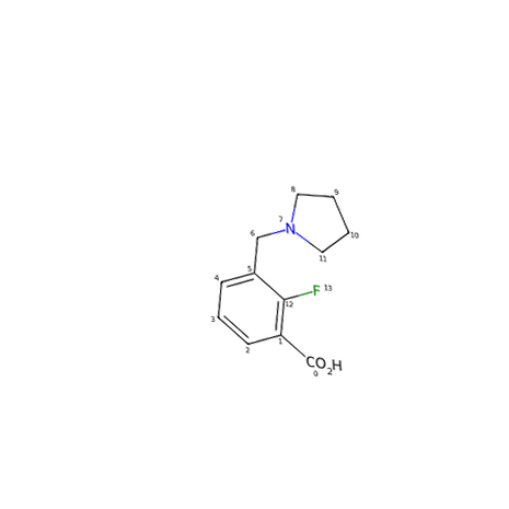 O=C(O)c1cccc(CN2CCCC2)c1F